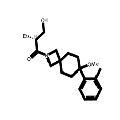 CC[C@H](CO)C(=O)N1CC2(CCC(OC)(c3ccccc3C)CC2)C1